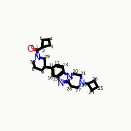 O=C(C1CCC1)N1CCCC(c2ccc3c(c2)nc2n3CCN(C3CCC3)CC2)C1